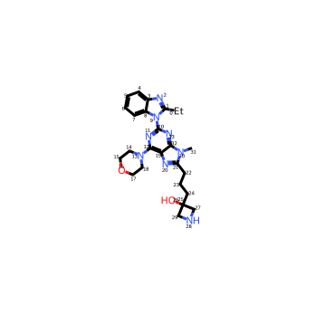 CCc1nc2ccccc2n1-c1nc(N2CCOCC2)c2nc(CCCC3(O)CNC3)n(C)c2n1